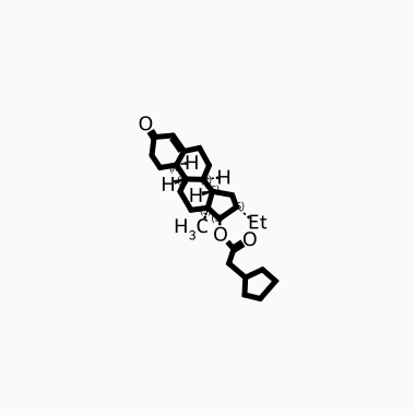 CC[C@H]1C[C@H]2[C@@H]3CCC4=CC(=O)CC[C@@H]4[C@H]3CC[C@]2(C)[C@H]1OC(=O)CC1CCCC1